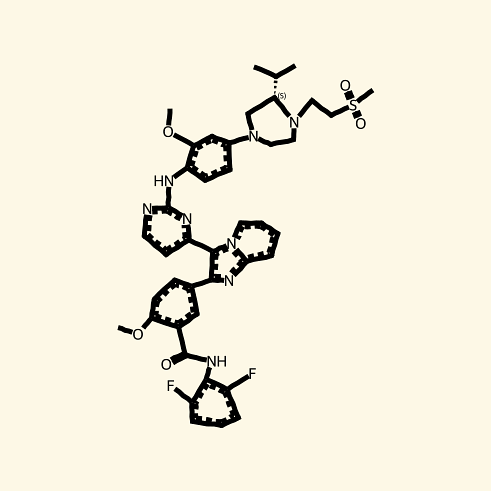 COc1cc(N2CCN(CCS(C)(=O)=O)[C@@H](C(C)C)C2)ccc1Nc1nccc(-c2c(-c3ccc(OC)c(C(=O)Nc4c(F)cccc4F)c3)nc3ccccn23)n1